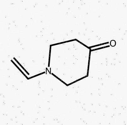 C=CN1CCC(=O)CC1